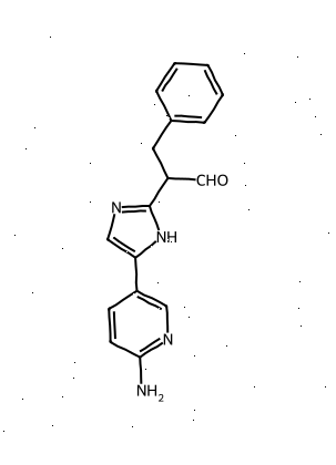 Nc1ccc(-c2cnc(C(C=O)Cc3ccccc3)[nH]2)cn1